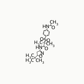 CC(=O)Nc1ccc(S(=O)(=O)C(C)(C)C(=O)NC2=NOC(C(C)(C)C)C2)cc1